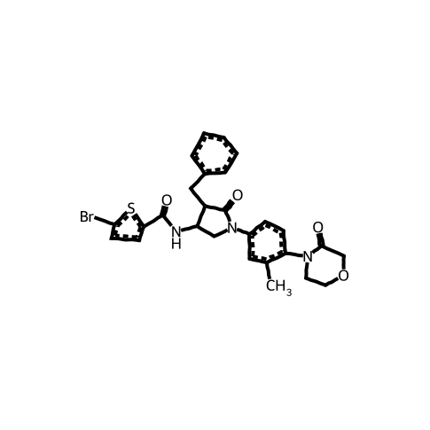 Cc1cc(N2CC(NC(=O)c3ccc(Br)s3)C(Cc3ccccc3)C2=O)ccc1N1CCOCC1=O